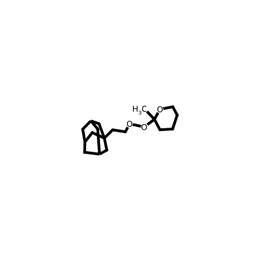 CC1(OOCCC23CC4CC(CC(C4)C2)C3)CCCCO1